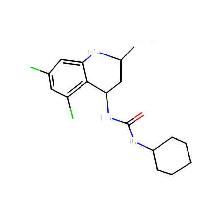 O=C(NC1CCCCC1)NC1CC(C(=O)O)Nc2cc(Cl)cc(Cl)c21